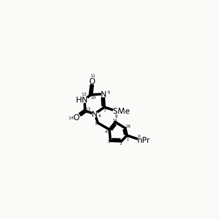 CCCc1ccc(Cn2c(SC)nc(=O)[nH]c2=O)cc1